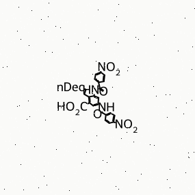 CCCCCCCCCCCCc1c(NC(=O)c2ccc([N+](=O)[O-])cc2)cc(NC(=O)c2ccc([N+](=O)[O-])cc2)cc1C(=O)O